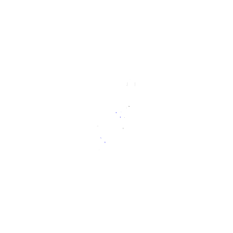 CC(C)OC(=O)N1CCN(C(C)C)CC1